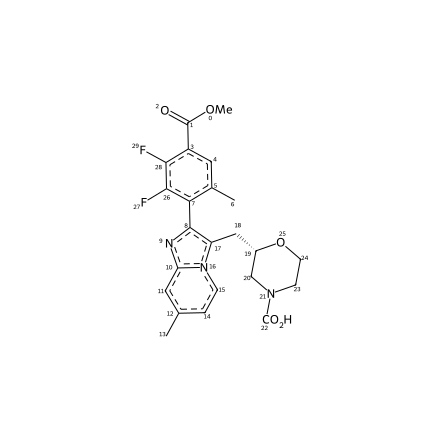 COC(=O)c1cc(C)c(-c2nc3cc(C)ccn3c2C[C@H]2CN(C(=O)O)CCO2)c(F)c1F